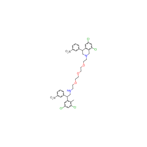 Cc1c(Cl)cc(Cl)cc1C(CNCCOCCOCCOCCN1Cc2c(Cl)cc(Cl)cc2C(c2cccc([N+](=O)[O-])c2)C1)c1cccc([N+](=O)[O-])c1